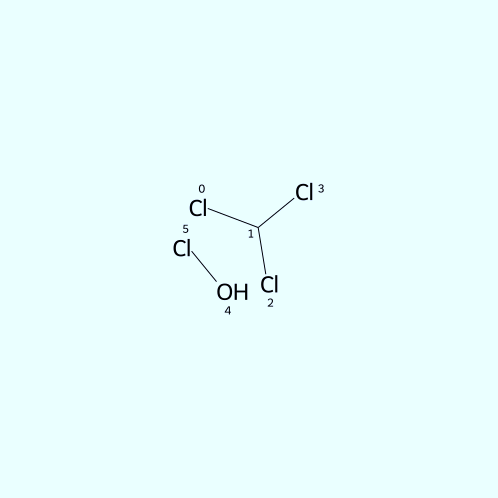 ClC(Cl)Cl.OCl